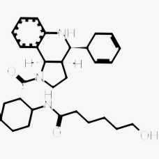 O=C(CCCCCO)NC1CCCC[C@@H]1C(=O)N1CC[C@@H]2[C@H](C3C=CC=CC3)Nc3ccccc3[C@@H]21